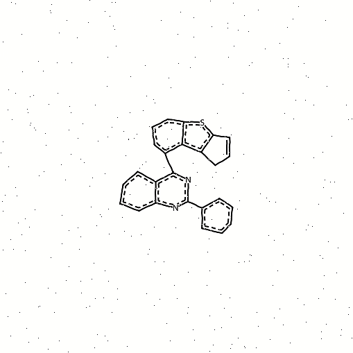 C1=Cc2sc3cccc(-c4nc(-c5ccccc5)nc5ccccc45)c3c2C1